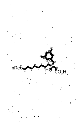 CCCCCCCCCCCCCCCCCCS(O)(CC(=O)O)Cc1cc(C)cc(C)c1